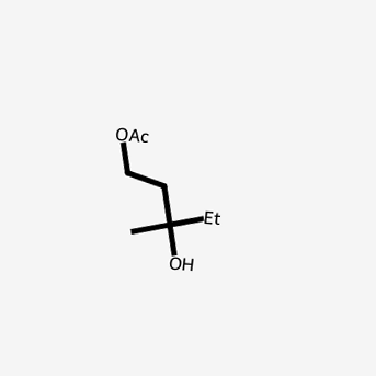 CCC(C)(O)CCOC(C)=O